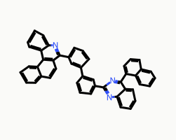 c1cc(-c2cccc(-c3nc4ccccc4c4c3ccc3ccccc34)c2)cc(-c2nc(-c3cccc4ccccc34)c3ccccc3n2)c1